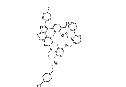 CCOC(=O)[C@@H](Cc1cc(CNCCN2CCN(C3CC3)CC2)ccc1OCc1ccnc(-c2ccccc2OC)n1)Oc1ncnc2sc(-c3ccc(F)cc3)c(-c3ccc(C=O)c(Cl)c3C)c12